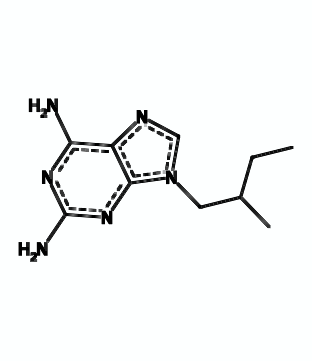 CCC(C)Cn1cnc2c(N)nc(N)nc21